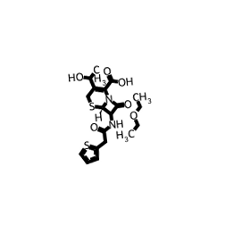 CC(O)C1=C(C(=O)O)N2C(=O)C(NC(=O)Cc3cccs3)[C@H]2SC1.CCOCC